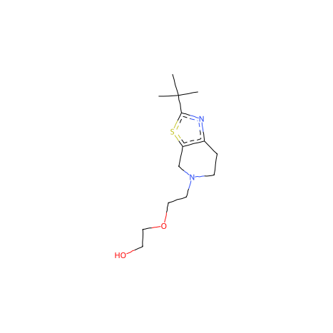 CC(C)(C)c1nc2c(s1)CN(CCOCCO)CC2